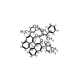 CCS(C)(CC)c1cc2ccccc2c2c1op(N(C)[C@@H](C)c1ccccc1)oc1c(S(C)(CC)CC)cc3ccccc3c12